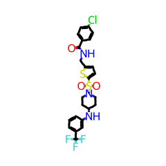 O=C(NCc1ccc(S(=O)(=O)N2CCC(Nc3cccc(C(F)(F)F)c3)CC2)s1)c1ccc(Cl)cc1